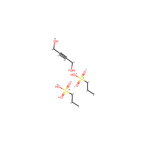 CCCS(=O)(=O)O.CCCS(=O)(=O)O.OCC#CCO